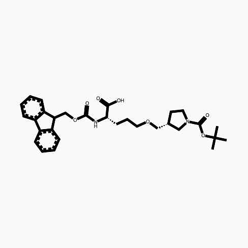 CC(C)(C)OC(=O)N1CC[C@@H](COCCC[C@H](NC(=O)OCC2c3ccccc3-c3ccccc32)C(=O)O)C1